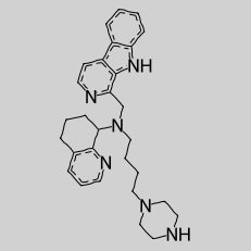 c1cnc2c(c1)CCCC2N(CCCCN1CCNCC1)Cc1nccc2c1[nH]c1ccccc12